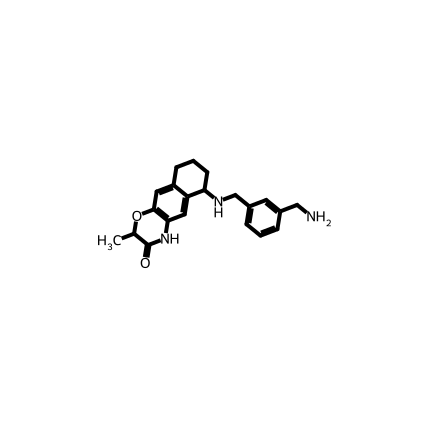 CC1Oc2cc3c(cc2NC1=O)C(NCc1cccc(CN)c1)CCC3